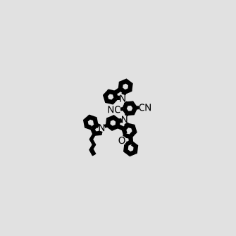 C=CCCc1cn(-c2ccc3c(c2)c2c4oc5ccccc5c4ccc2n3-c2cc(C#N)cc(-n3c4ccccc4c4ccccc43)c2C#N)c2ccccc12